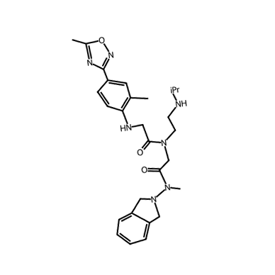 Cc1nc(-c2ccc(NCC(=O)N(CCNC(C)C)CC(=O)N(C)N3Cc4ccccc4C3)c(C)c2)no1